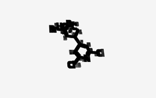 O=C(O)CC(C=C(Br)Br)c1cc(Cl)nc(Cl)c1